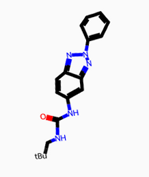 CC(C)(C)CNC(=O)Nc1ccc2nn(-c3ccccc3)nc2c1